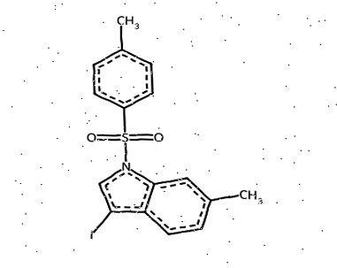 Cc1ccc(S(=O)(=O)n2cc(I)c3ccc(C)cc32)cc1